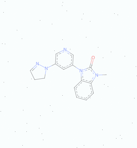 Cn1c(=O)n(-c2cncc(N3CCC=N3)c2)c2ccccc21